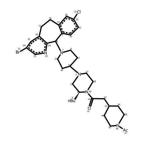 CCCC[C@H]1CN(C2CCN(C3c4ccc(Cl)cc4CCc4cc(Br)cnc43)CC2)CCN1C(=O)CC1CCN(C(C)=O)CC1